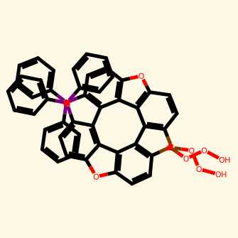 OOOSc1ccc2oc3ccc(P(c4ccccc4)c4ccccc4)c4c5c(P(c6ccccc6)c6ccccc6)ccc6oc7ccc(SOOO)c(c1c2c34)c7c65